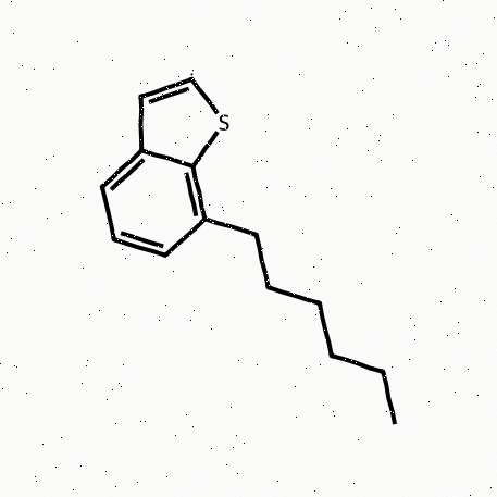 CCCCCCc1cccc2c[c]sc12